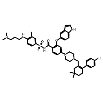 Cc1cc(S(=O)(=O)NC(=O)c2ccc(N3CCN(CC4=C(c5ccc(Cl)cc5)CCC(C)(C)C4)CC3)cc2Oc2ccc3[nH]ccc3c2)ccc1NCCCN(C)C